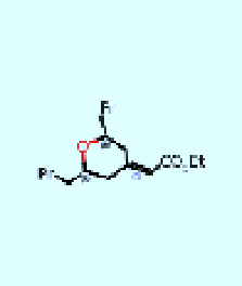 CCOC(=O)/C=C1/C[C@@H](CC(C)C)O[C@@H](C(C)C)C1